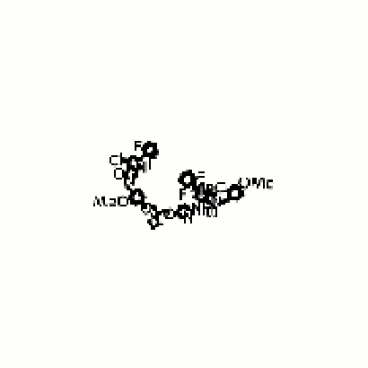 COc1ccc(CN2Cc3nc(-c4c(F)cccc4F)cc(Nc4ccc(OCC(COc5ccc(CN6Cc7nc(-c8c(F)cccc8F)cc(Cl)c7C6=O)c(OC)c5)N5CCC5)cn4)c3C2=O)c(OC)c1